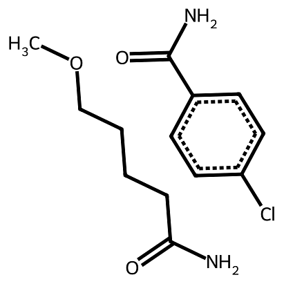 COCCCCC(N)=O.NC(=O)c1ccc(Cl)cc1